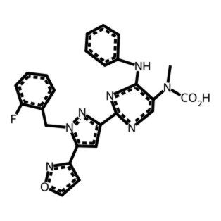 CN(C(=O)O)c1cnc(-c2cc(-c3ccon3)n(Cc3ccccc3F)n2)nc1Nc1ccccc1